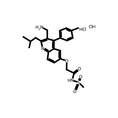 Cc1ccc(-c2c(CN)c(CC(C)C)nc3ccc(OCC(=O)NS(C)(=O)=O)cc23)cc1.Cl.Cl